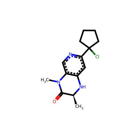 C[C@@H]1Nc2cc(C3(Cl)CCCC3)ncc2N(C)C1=O